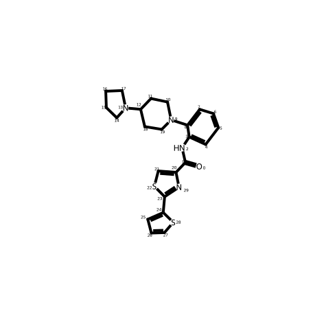 O=C(Nc1ccccc1N1CCC(N2CCCC2)CC1)c1csc(-c2cccs2)n1